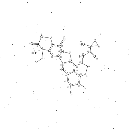 CC[C@@]1(O)C(=O)OCc2c1cc1n(c2=O)Cc2c-1nc1cc(F)c(C)c3c1c2C(NC(=O)C1(O)CC1)CC3